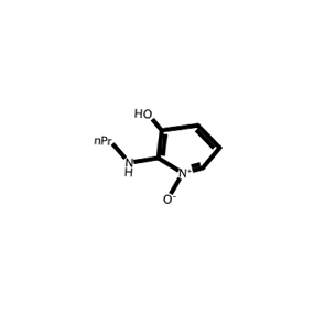 CCCNc1c(O)ccc[n+]1[O-]